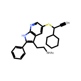 C#CC(Sc1cnc2[nH]c(-c3ccccc3)c(CCNC(C)=O)c2c1)C1CCCCC1